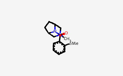 CSc1ccccc1C(=O)N1C2CCC1CN(C)C2